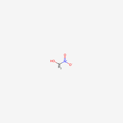 O=[N+]([O-])[SiH2]O